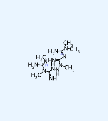 C/N=C(\N)N(C)C(=N)NNN(C)C(=N)/N=C(\N)N(C)C